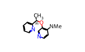 CNc1ccncc1O[C@H](C)c1ccccn1